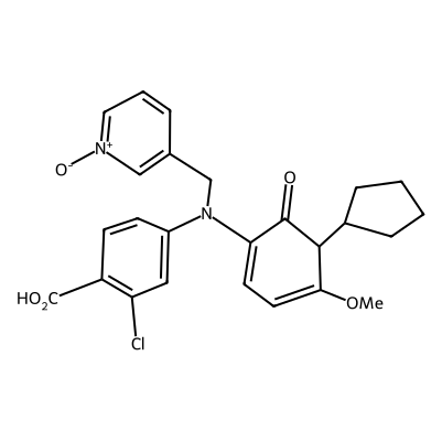 COC1=CC=C(N(Cc2ccc[n+]([O-])c2)c2ccc(C(=O)O)c(Cl)c2)C(=O)C1C1CCCC1